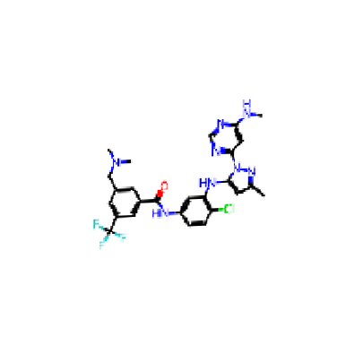 CNc1cc(-n2nc(C)cc2Nc2cc(NC(=O)c3cc(CN(C)C)cc(C(F)(F)F)c3)ccc2Cl)ncn1